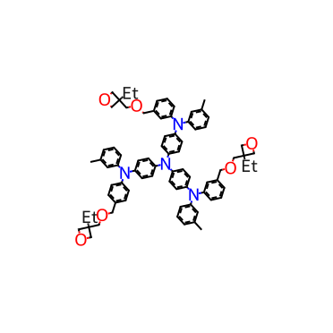 CCC1(COCc2ccc(N(c3ccc(N(c4ccc(N(c5cccc(C)c5)c5cccc(COCC6(CC)COC6)c5)cc4)c4ccc(N(c5cccc(C)c5)c5cccc(COCC6(CC)COC6)c5)cc4)cc3)c3cccc(C)c3)cc2)COC1